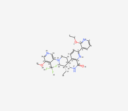 CCOc1ncccc1-c1ccc2c(n1)C(=O)NC[C@]21CCN(c2cncc(OC)c2C(F)(F)F)C[C@H]1CC